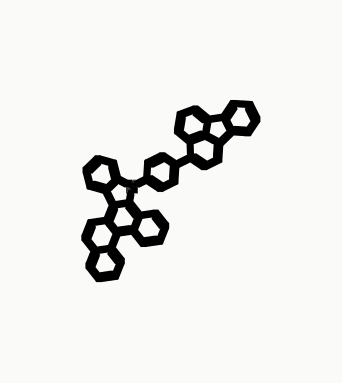 c1ccc2c(c1)-c1cccc3c(-c4ccc(-n5c6ccccc6c6c7ccc8ccccc8c7c7ccccc7c65)cc4)ccc-2c13